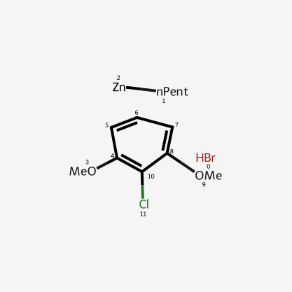 Br.CCCC[CH2][Zn].COc1cccc(OC)c1Cl